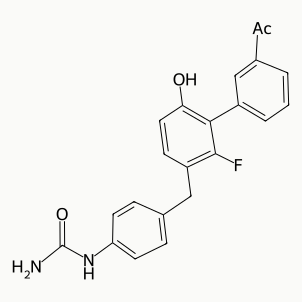 CC(=O)c1cccc(-c2c(O)ccc(Cc3ccc(NC(N)=O)cc3)c2F)c1